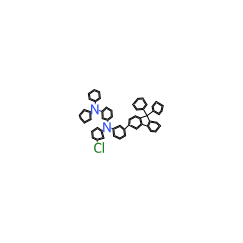 Clc1cccc(N(c2cccc(-c3ccc4c(c3)-c3ccccc3C4(c3ccccc3)c3ccccc3)c2)c2cccc(N(c3ccccc3)c3ccccc3)c2)c1